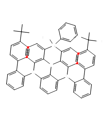 CC(C)(C)c1ccc(-c2ccccc2N2c3cccc4c3B3c5c2cccc5[Si](C)(c2ccccc2)c2cccc(c23)N4c2ccccc2-c2ccc(C(C)(C)C)cc2)cc1